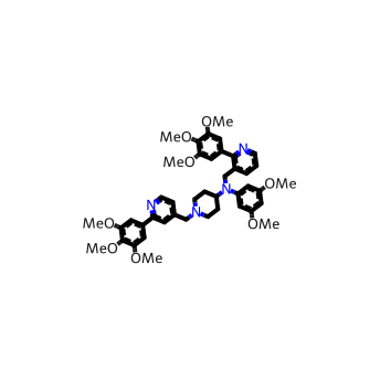 COc1cc(OC)cc(N(Cc2cccnc2-c2cc(OC)c(OC)c(OC)c2)C2CCN(Cc3ccnc(-c4cc(OC)c(OC)c(OC)c4)c3)CC2)c1